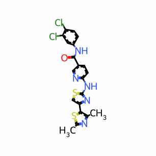 Cc1nc(C)c(-c2csc(Nc3ccc(C(=O)Nc4ccc(Cl)c(Cl)c4)cn3)n2)s1